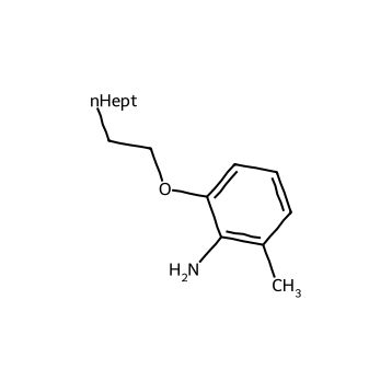 CCCCCCCCCOc1cccc(C)c1N